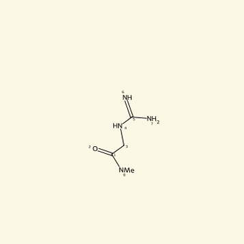 [CH2]NC(=O)CNC(=N)N